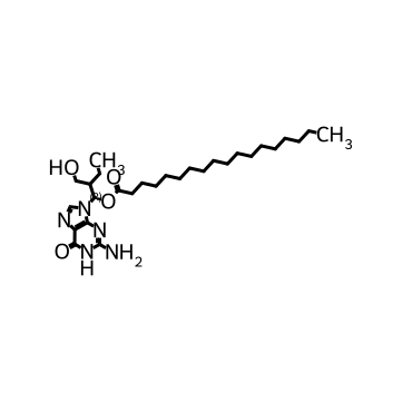 CCCCCCCCCCCCCCCCCC(=O)O[C@H](C(CC)CO)n1cnc2c(=O)[nH]c(N)nc21